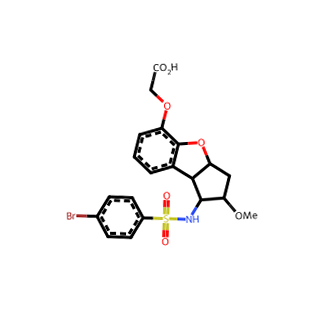 COC1CC2Oc3c(OCC(=O)O)cccc3C2C1NS(=O)(=O)c1ccc(Br)cc1